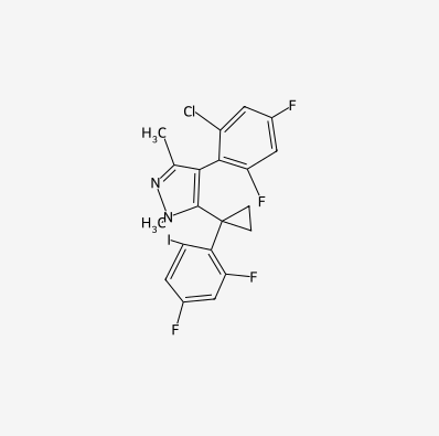 Cc1nn(C)c(C2(c3c(F)cc(F)cc3I)CC2)c1-c1c(F)cc(F)cc1Cl